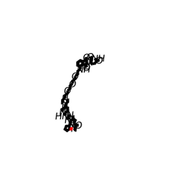 CN(C)C(=O)c1cc2cnc(Nc3ccc(N4CCN(CCOCCOCCOCCNc5cccc6c5C(=O)N(C5CCC(=O)NC5=O)C6=O)CC4)cn3)nc2n1C1CCCC1